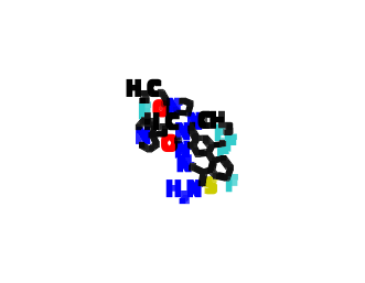 C=CC(=O)N1CCC(N(C)c2nc(OCC34CCCN3CC(F)C4)nc3cc(-c4ccc(F)c5sc(N)c(C#N)c45)c(C(F)(F)F)cc23)C1C